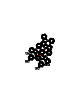 CC(C)(C)c1cc(-c2cc(-c3cc(C(C)(C)C)cc(C(C)(C)C)c3)nc(-c3cc(-c4ccccc4-n4c5ccccc5c5ccccc54)c(-n4c5ccccc5c5c4ccc4c6ccccc6n(-c6ccccc6)c45)c(-c4ccccc4-n4c5ccccc5c5ccccc54)c3)n2)cc(C(C)(C)C)c1